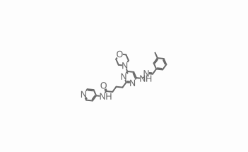 Cc1cccc(C=NNc2cc(N3CCOCC3)nc(CCCC(=O)Nc3ccncc3)n2)c1